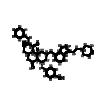 C#CCN1CC(=O)N2[C@@H](Cc3ccc(O)cc3)CN(Cc3cccc4c3cnn4CCN3CCOCC3)C[C@@H]2N1C(=O)NCc1ccccc1